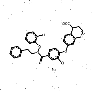 O=C([O-])C1CCOc2cc(Oc3ccc(C(=O)N(CCc4ccccc4)Oc4ccccc4Cl)cc3Cl)ccc21.[Na+]